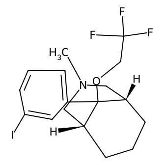 CN1C[C@H]2CCC[C@@H](C1)C2(OCC(F)(F)F)c1cccc(I)c1